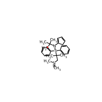 C[SiH](C)C[C](C)(C)[Ti]([c]1ccccc1)([c]1ccccc1)[N](C1=CC=CC1)C(C)(C)C